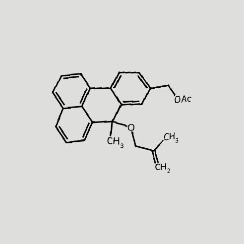 C=C(C)COC1(C)c2cc(COC(C)=O)ccc2-c2cccc3cccc1c23